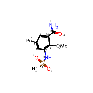 COc1c(NS(C)(=O)=O)cc(C(C)C)cc1C(N)=O